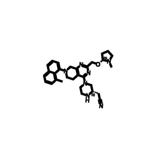 Cc1cccc2cccc(N3CCc4c(nc(CO[C@@H]5CCCN5C)nc4N4CCN[C@@H](CC#N)C4)C3)c12